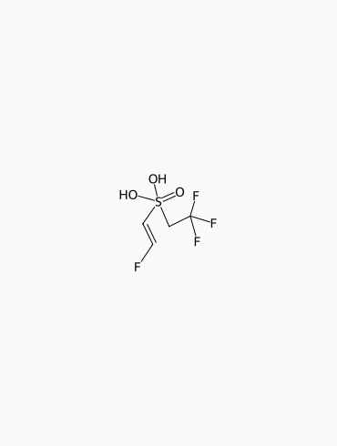 O=S(O)(O)(C=CF)CC(F)(F)F